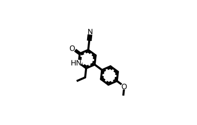 CCc1[nH]c(=O)c(C#N)cc1-c1ccc(OC)cc1